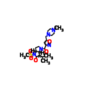 CC(C)[C@H]1C(=O)N(S(C)(=O)=O)[C@H]2CCN(C(=O)c3cc(CN4CCN(C)CC4)on3)[C@H]12